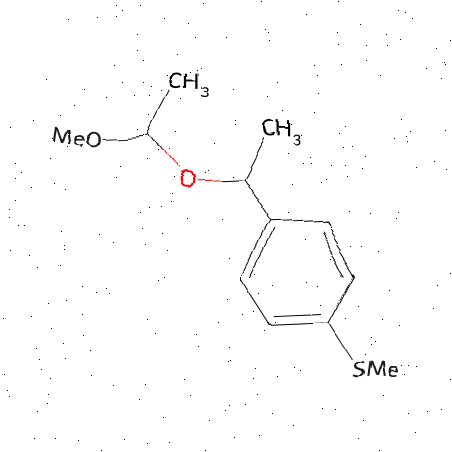 COC(C)OC(C)c1ccc(SC)cc1